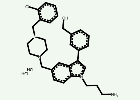 Cl.Cl.NCCCn1cc(-c2cccc(CO)c2)c2cc(CN3CCN(Cc4ccccc4Cl)CC3)ccc21